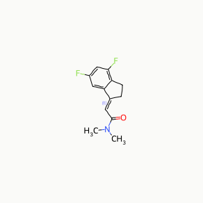 CN(C)C(=O)/C=C1\CCc2c(F)cc(F)cc21